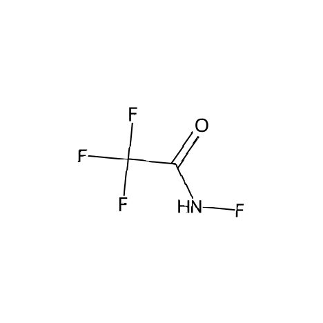 O=C(NF)C(F)(F)F